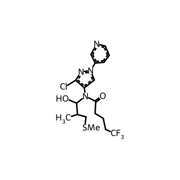 CSCC(C)C(O)N(C(=O)CCCC(F)(F)F)c1cn(-c2cccnc2)nc1Cl